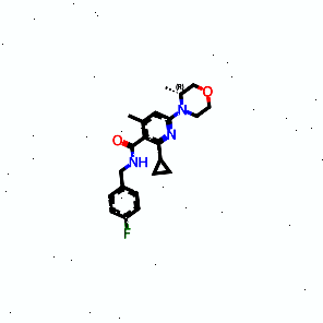 Cc1cc(N2CCOC[C@H]2C)nc(C2CC2)c1C(=O)NCc1ccc(F)cc1